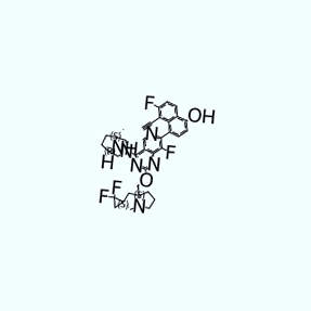 C#Cc1c(F)ccc2c(O)ccc(-c3ncc4c(N5C[C@H]6CC[C@@](C)(C5)N6)nc(OC[C@@]56CCCN5C[C@@]5(CC5(F)F)C6)nc4c3F)c12